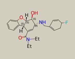 CCN(CC)C(=O)C1=C[C@@H](NCC2=CCC(F)C=C2)[C@H](O)[C@H]2Oc3ccccc3[C@@H]12